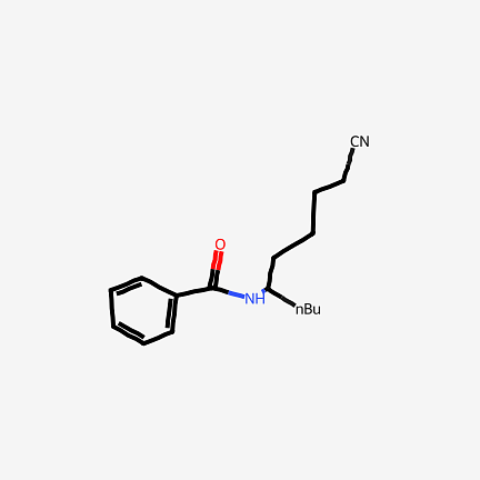 CCCCC(CCCCC#N)NC(=O)c1ccccc1